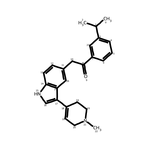 CC(C)c1cccc(C(=O)Cc2ccc3[nH]cc(C4=CCN(C)CC4)c3c2)c1